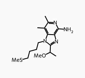 COC(C)c1nc2c(N)nc(C)c(C)c2n1CCCCSC